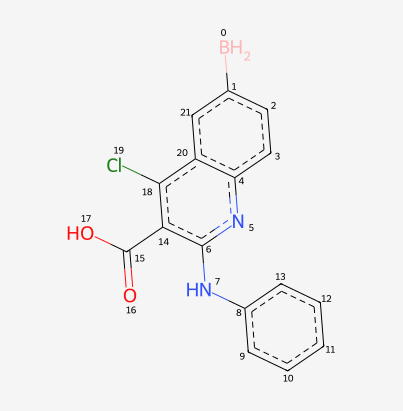 Bc1ccc2nc(Nc3ccccc3)c(C(=O)O)c(Cl)c2c1